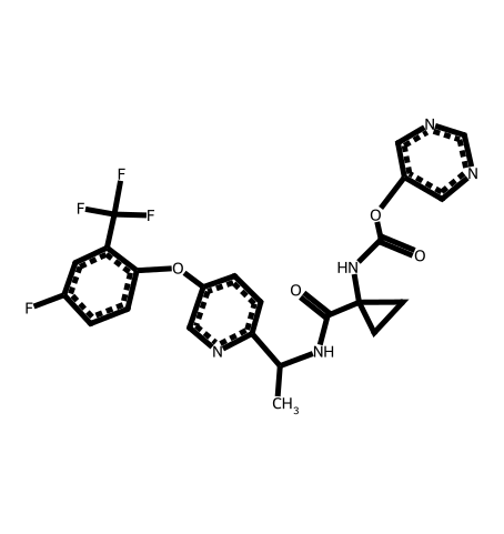 CC(NC(=O)C1(NC(=O)Oc2cncnc2)CC1)c1ccc(Oc2ccc(F)cc2C(F)(F)F)cn1